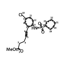 COC(=O)CCC#Cc1cc(Cl)ccc1NS(=O)(=O)c1ccccc1